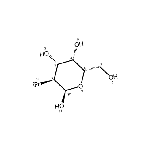 CC(C)[C@H]1[C@H](O)[C@H](O)[C@H](CO)O[C@H]1O